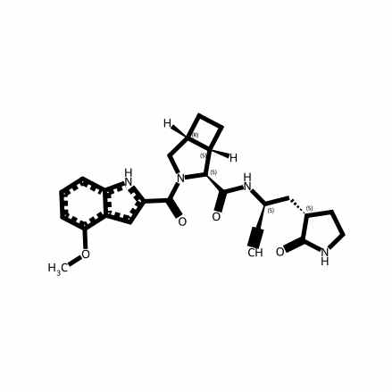 C#C[C@H](C[C@@H]1CCNC1=O)NC(=O)[C@@H]1[C@H]2CC[C@H]2CN1C(=O)c1cc2c(OC)cccc2[nH]1